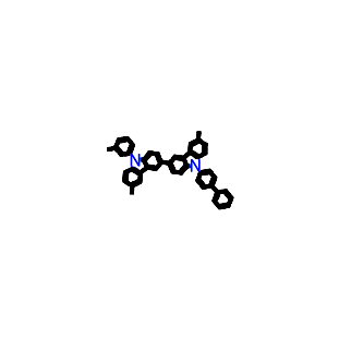 Cc1cccc(-n2c3ccc(C)cc3c3cc(-c4ccc5c(c4)c4cc(C)ccc4n5-c4ccc(-c5ccccc5)cc4)ccc32)c1